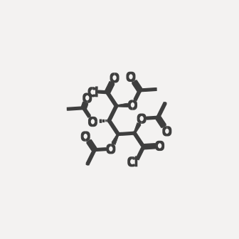 CC(=O)O[C@@H]([C@H](OC(C)=O)[C@@H](OC(C)=O)C(=O)Cl)[C@H](OC(C)=O)C(=O)Cl